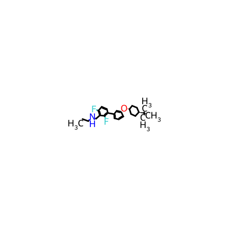 CCCNCc1c(F)ccc(-c2cccc(O[C@H]3CC[C@H](C(C)(C)C)CC3)c2)c1F